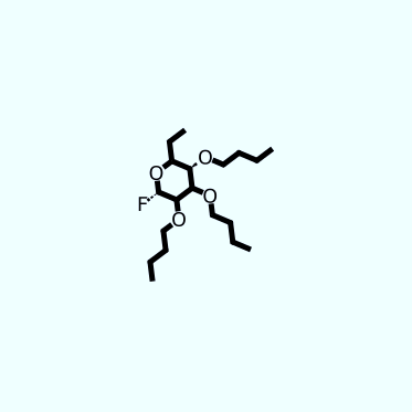 CCCCOC1C(OCCCC)[C@H](F)OC(CC)[C@@H]1OCCCC